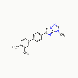 Cc1ccc(-c2ccc(-c3cn4ncn(C)c4n3)cc2)cc1C